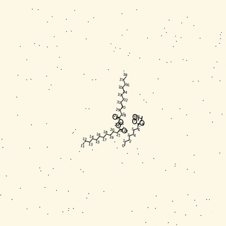 CCCCCCCC(=O)OO.CCCCCCCCCCCC(=O)OOC(=O)CCCCCCCCCCC